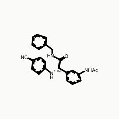 CC(=O)Nc1cccc([C@H](Nc2ccc(C#N)cc2)C(=O)NCc2ccccc2)c1